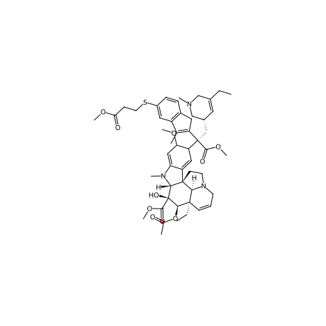 CCC1=C[C@H](C[C@@](C(=O)OC)(C2=C(C)c3cc(SCCC(=O)OC)ccc3C2)C2C=C3C(=CC2OC)N(C)[C@H]2[C@@](O)(C(=O)OC)[C@H](OC(C)=O)[C@]4(CC)C=CCN5CC[C@]32[C@@H]54)CN(C)C1